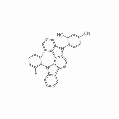 N#Cc1ccc(-n2c3ccccc3c3c2ccc2c4ccccc4n(-c4c(F)cccc4F)c23)c(C#N)c1